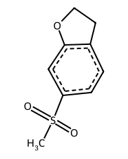 CS(=O)(=O)c1ccc2c(c1)OCC2